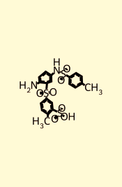 Cc1ccc(S(=O)(=O)Nc2ccc(N)c(S(=O)(=O)c3ccc(C)c(S(=O)(=O)O)c3)c2)cc1